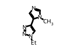 CCn1cc(-c2cncn2C)nn1